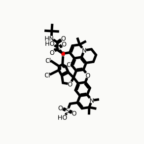 CN1c2cc3c(cc2C(CS(=O)(=O)O)=CC1(C)C)C1(OCc2c(Cl)c(Cl)c(SCC(=O)NC(C)(C)C)c(Cl)c21)c1cc2c4c(c1O3)CCCN4C(C)(C)C=C2CS(=O)(=O)O